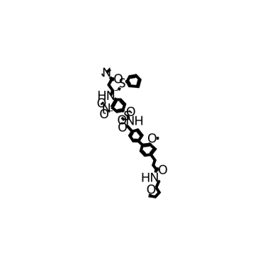 COc1cc(CCC(=O)NCC2CCCO2)ccc1-c1ccc(C(=O)NS(=O)(=O)c2ccc(N[C@@H](CSc3ccccc3)CC(=O)N(C)C)c([N+](=O)[O-])c2)cc1